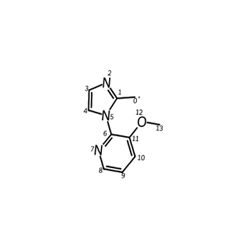 [CH2]c1nccn1-c1ncccc1OC